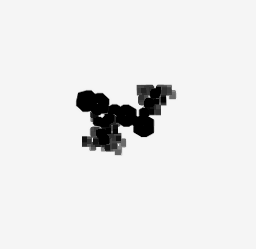 CC(O)NC(=O)NCc1ccccc1-c1ccc(CN2C(=O)C(NC(=O)C(C)(C)N)CSc3c2ccc2ccccc32)cc1